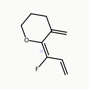 C=C/C(F)=C1/OCCCC1=C